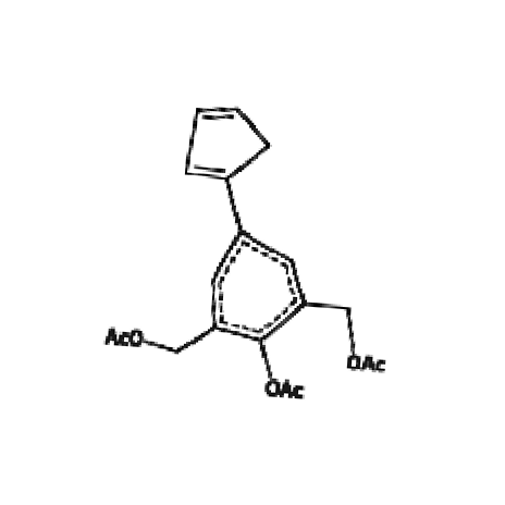 CC(=O)OCc1cc(C2=CC=CC2)cc(COC(C)=O)c1OC(C)=O